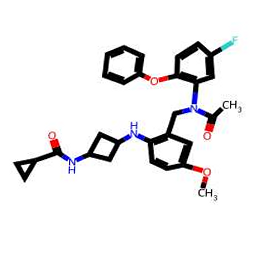 COc1ccc(NC2CC(NC(=O)C3CC3)C2)c(CN(C(C)=O)c2cc(F)ccc2Oc2ccccc2)c1